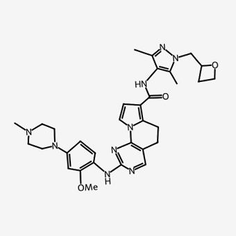 COc1cc(N2CCN(C)CC2)ccc1Nc1ncc2c(n1)-n1ccc(C(=O)Nc3c(C)nn(CC4CCO4)c3C)c1CC2